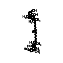 C=C(C)[C@H]1CCC(CO)=C[C@@H]1c1c(O)cc(C(C)(C)CCCCCCO[N+](=O)OCCCCCCC(C)(C)c2cc(O)c([C@H]3C=C(CO)CC[C@@H]3C(=C)C)c(O)c2)cc1O